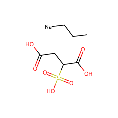 CC[CH2][Na].O=C(O)CC(C(=O)O)S(=O)(=O)O